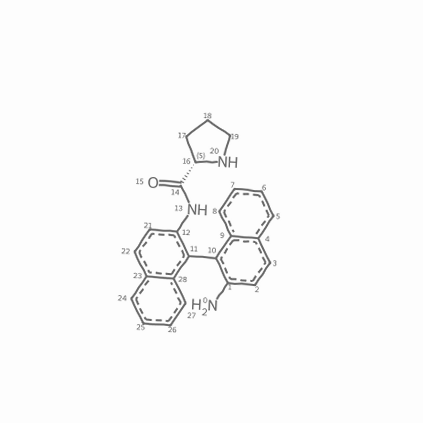 Nc1ccc2ccccc2c1-c1c(NC(=O)[C@@H]2CCCN2)ccc2ccccc12